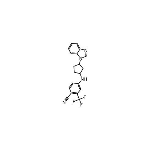 N#Cc1ccc(NC2CCC(n3cnc4ccccc43)C2)cc1C(F)(F)F